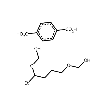 CCC(CCCOCO)OCO.O=C(O)c1ccc(C(=O)O)cc1